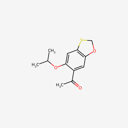 CC(=O)c1cc2c(cc1OC(C)C)SCO2